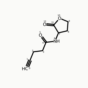 C#CCCC(=O)NC1CCOC1=O